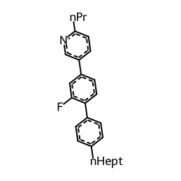 CCCCCCCc1ccc(-c2ccc(-c3ccc(CCC)nc3)cc2F)cc1